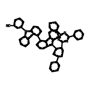 N#Cc1cccc(-n2c3ccccc3c3c(-c4cccc5c4c4ccccc4n5-c4cc(-c5ccccc5)ccc4-c4nc(-c5ccccc5)nc(-c5ccccc5)n4)cccc32)c1